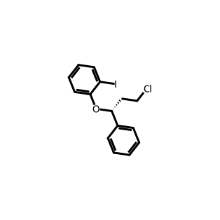 ClCC[C@@H](Oc1ccccc1I)c1ccccc1